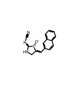 N#CN=C1NCC(=Cc2ccc3ccccc3c2)[S+]1[O-]